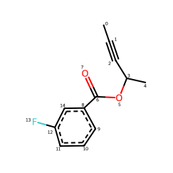 CC#CC(C)OC(=O)c1cccc(F)c1